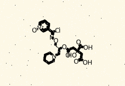 O=C(O)C[C@@](O)(CC(=O)O[C@@H](CON=C(Cl)c1ccc[n+]([O-])c1)CN1CCCCC1)C(=O)O